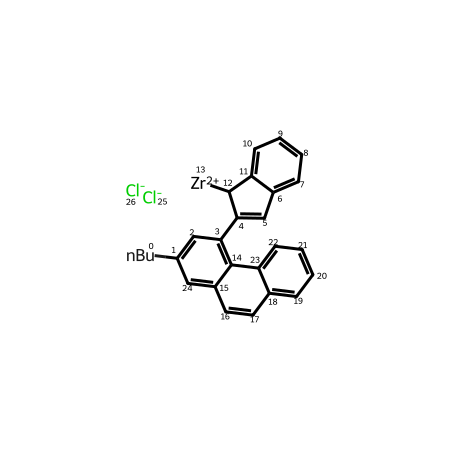 CCCCc1cc(C2=Cc3ccccc3[CH]2[Zr+2])c2c(ccc3ccccc32)c1.[Cl-].[Cl-]